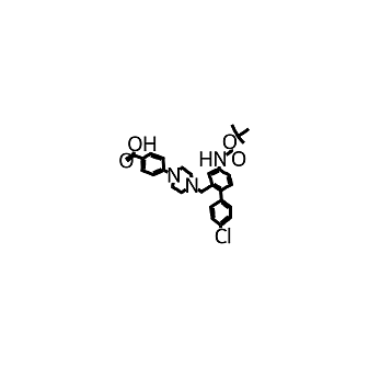 CC(C)(C)OC(=O)Nc1ccc(-c2ccc(Cl)cc2)c(CN2CCN(c3ccc(C(=O)O)cc3)CC2)c1